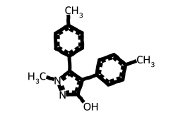 Cc1ccc(-c2c(O)nn(C)c2-c2ccc(C)cc2)cc1